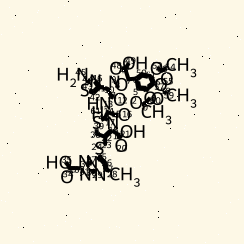 CC(=O)Oc1cc([C@H](O/N=C(\C(=O)N[C@@H]2C(=O)N3C(C(=O)O)=C(CSc4cc(C)nc5nc(C(=O)O)nn45)CS[C@H]23)c2csc(N)n2)C(=O)O)cc(OC(C)=O)c1OC(C)=O